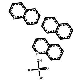 O=P(O)(O)O.c1ccc2ncccc2c1.c1ccc2ncccc2c1.c1ccc2ncccc2c1